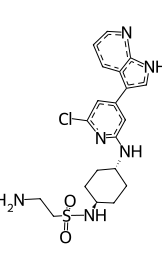 NCCS(=O)(=O)N[C@H]1CC[C@H](Nc2cc(-c3c[nH]c4ncccc34)cc(Cl)n2)CC1